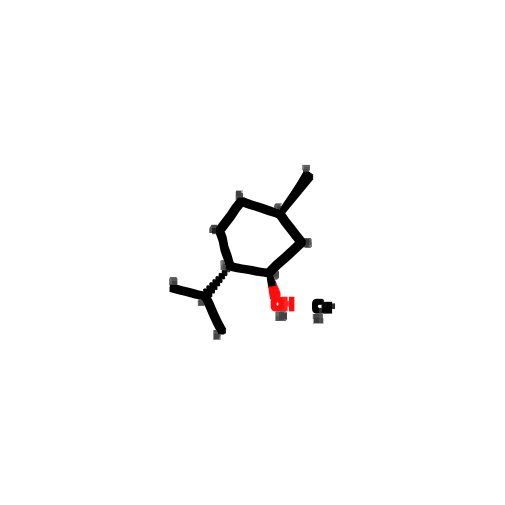 CC(C)[C@@H]1CC[C@@H](C)C[C@H]1O.[Cu]